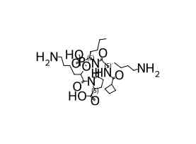 CCCC[C@@H](NC(=O)[C@H](CCCCN)NC(=O)C1CCC1)P(=O)(O)OC(CCCCN)C(=O)N1CCC[C@H]1C(=O)O